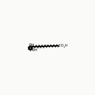 O=C(O)CCCCCCCCCCCCCCCCCCc1c(O)cccc1O